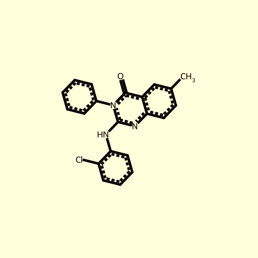 Cc1ccc2nc(Nc3ccccc3Cl)n(-c3ccccc3)c(=O)c2c1